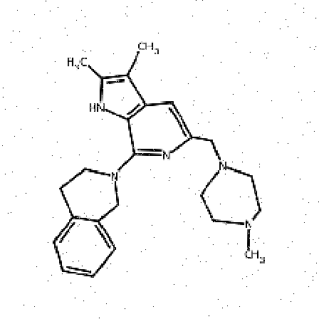 Cc1[nH]c2c(N3CCc4ccccc4C3)nc(CN3CCN(C)CC3)cc2c1C